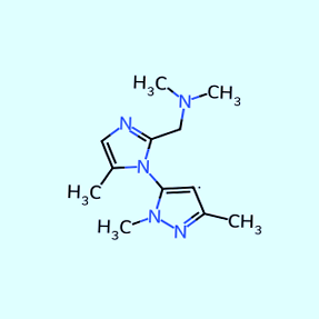 Cc1[c]c(-n2c(C)cnc2CN(C)C)n(C)n1